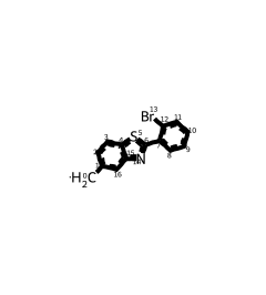 [CH2]c1ccc2sc(-c3ccccc3Br)nc2c1